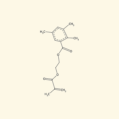 C=C(C)C(=O)OCCOC(=O)c1cc(C)cc(C)c1C